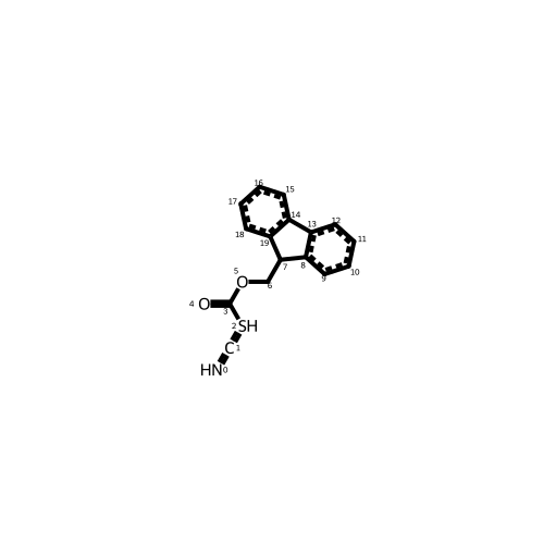 N=C=[SH]C(=O)OCC1c2ccccc2-c2ccccc21